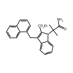 CCOC(=O)c1c(Cc2cccc3ccccc23)c2ccccc2n1C(C)(C)C(N)=O